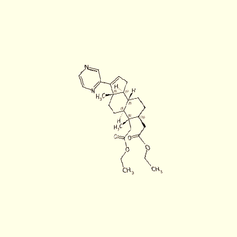 CCOC(=O)C[C@@H]1CC[C@@H]2[C@H](CC[C@]3(C)C(c4cnccn4)=CC[C@@H]23)[C@@]1(C)CC(=O)OCC